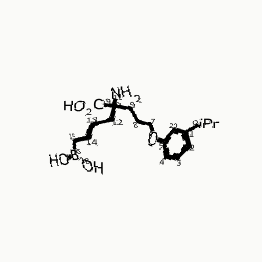 CC(C)c1cccc(OCCCC(N)(CCCCB(O)O)C(=O)O)c1